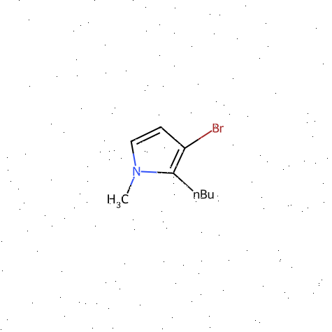 CCCCc1c(Br)ccn1C